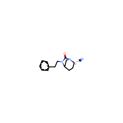 N#C[C@@H]1CCC2CN1C(=O)N2CCc1ccccc1